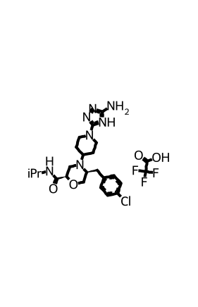 CC(C)NC(=O)[C@H]1CN(C2CCN(c3nnc(N)[nH]3)CC2)[C@@H](Cc2ccc(Cl)cc2)CO1.O=C(O)C(F)(F)F